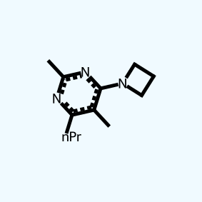 CCCc1nc(C)nc(N2CCC2)c1C